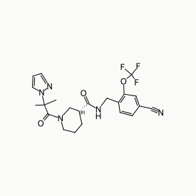 CC(C)(C(=O)N1CCC[C@@H](C(=O)NCc2ccc(C#N)cc2OC(F)(F)F)C1)n1cccn1